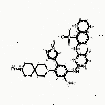 COc1cc(N2CCC3(CC2)CCN(C(C)C)CC3)c(-c2cnn(C)c2)cc1Nc1ncc(Br)c(Nc2ccc3nccnc3c2P(C)(C)=O)n1